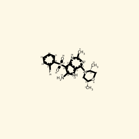 Cc1nc(N2C[C@@H](C)OC[C@H]2C)c2[nH]c(N)c(S(=O)(=O)c3ccccc3F)c2n1